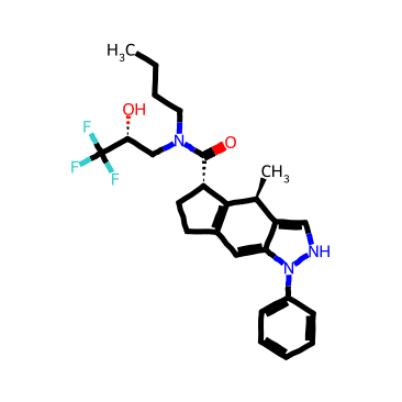 CCCCN(C[C@@H](O)C(F)(F)F)C(=O)[C@H]1CCC2=C1[C@@H](C)C1=CNN(c3ccccc3)C1=C2